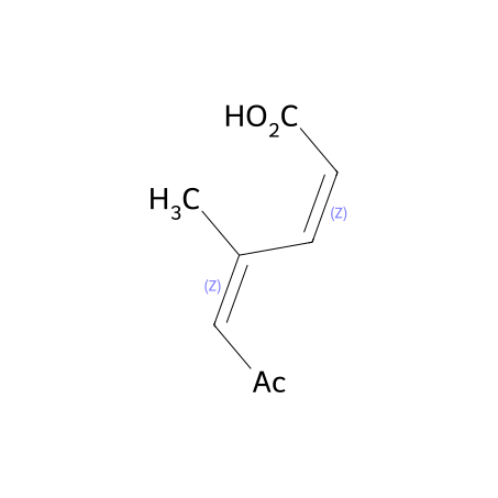 CC(=O)/C=C(C)\C=C/C(=O)O